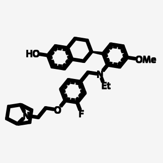 CCN(Cc1ccc(OCCN2C3CCC2CC3)c(F)c1)c1cc(OC)ccc1[C@@H]1CCc2cc(O)ccc2C1